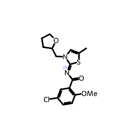 COc1ccc(Cl)cc1C(=O)/N=c1\sc(C)cn1CC1CCCO1